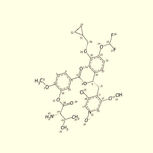 COc1ccc(C(=O)O[C@@H](Cc2c(Cl)c[n+]([O-])cc2Cl)c2ccc(OC(F)F)c(OCC3CC3)c2)cc1OC(=O)[C@@H](N)C(C)C.Cl